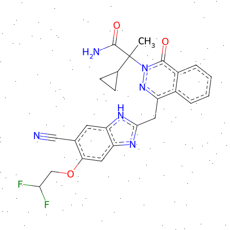 CC(C(N)=O)(C1CC1)n1nc(Cc2nc3cc(OCC(F)F)c(C#N)cc3[nH]2)c2ccccc2c1=O